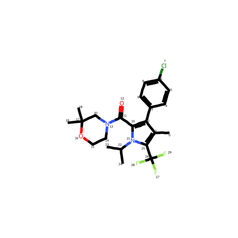 Cc1c(-c2ccc(Cl)cc2)c(C(=O)N2CCOC(C)(C)C2)n(C(C)C)c1C(F)(F)F